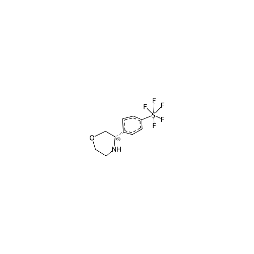 FS(F)(F)(F)(F)c1ccc([C@H]2COCCN2)cc1